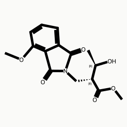 COC(=O)[C@H](CN1C(=O)c2cccc(OC)c2C1=O)[C@@H](C)O